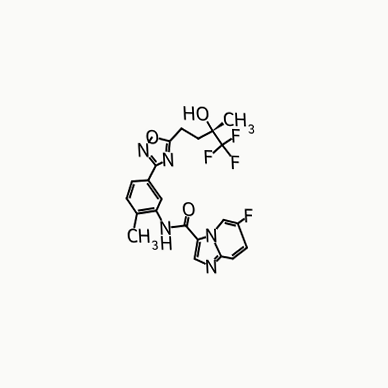 Cc1ccc(-c2noc(CC[C@](C)(O)C(F)(F)F)n2)cc1NC(=O)c1cnc2ccc(F)cn12